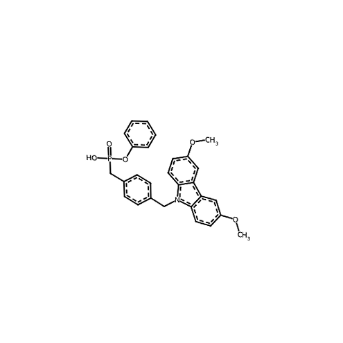 COc1ccc2c(c1)c1cc(OC)ccc1n2Cc1ccc(CP(=O)(O)Oc2ccccc2)cc1